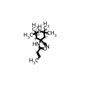 CC=CC(=O)NC1(C#N)CC(C)(C)NC(C)(C)C1